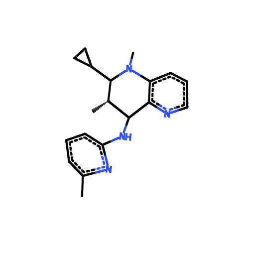 Cc1cccc(NC2c3ncccc3N(C)C(C3CC3)[C@H]2C)n1